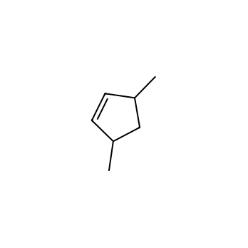 CC1C=CC(C)C1